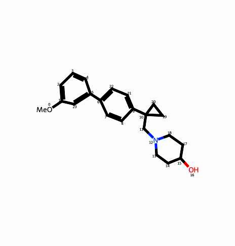 COc1cc[c]c(-c2ccc(C3(CN4CCC(O)CC4)CC3)cc2)c1